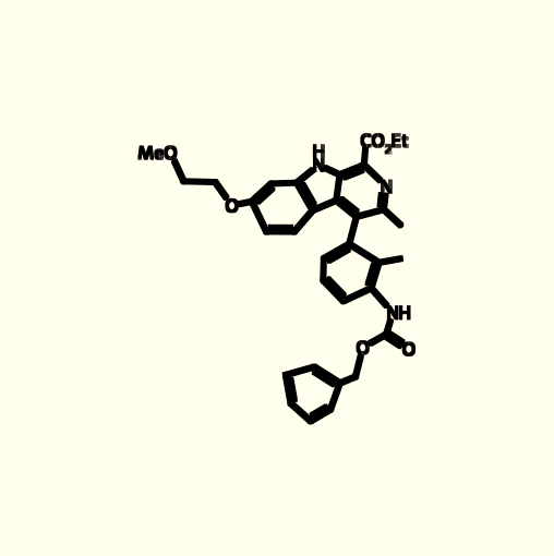 CCOC(=O)c1nc(C)c(-c2cccc(NC(=O)OCc3ccccc3)c2C)c2c1[nH]c1cc(OCCOC)ccc12